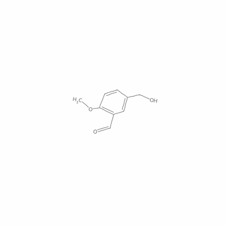 COc1ccc(CO)cc1C=O